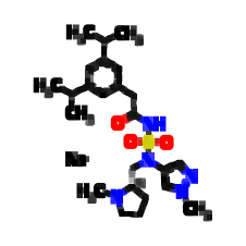 CC(C)c1cc(CC(=O)NS(=O)(=O)N(C[C@@H]2CCCN2C)c2cnn(C)c2)cc(C(C)C)c1.[Na]